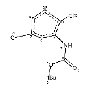 CC(C)(C)OC(=O)Nc1cc(Cl)ccc1Cl